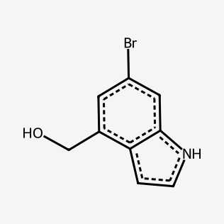 OCc1cc(Br)cc2[nH]ccc12